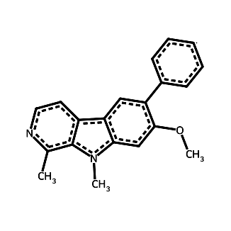 COc1cc2c(cc1-c1cc[c]cc1)c1ccnc(C)c1n2C